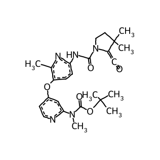 Cc1nc(NC(=O)N2CCC(C)(C)C2=C=O)ccc1Oc1ccnc(N(C)C(=O)OC(C)(C)C)c1